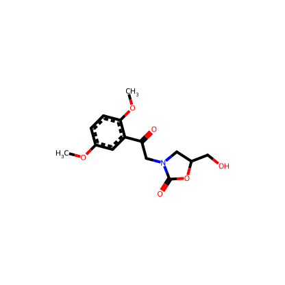 COc1ccc(OC)c(C(=O)CN2CC(CO)OC2=O)c1